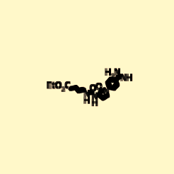 CCOC(=O)CCC=CNC(=O)NC1CCN(c2ccc(C(=N)N)cc2)C1=O